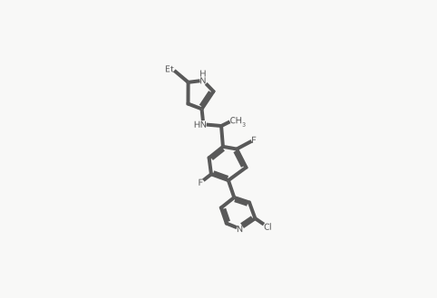 CCC1CC(NC(C)c2cc(F)c(-c3ccnc(Cl)c3)cc2F)=CN1